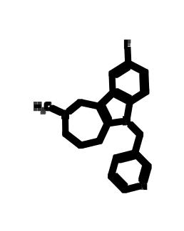 CN1CCCc2c(c3cc(F)ccc3n2Cc2cccnc2)C1